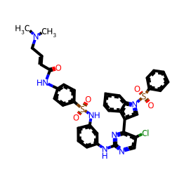 CN(C)C/C=C/C(=O)Nc1ccc(S(=O)(=O)Nc2cccc(Nc3ncc(Cl)c(-c4cn(S(=O)(=O)c5ccccc5)c5ccccc45)n3)c2)cc1